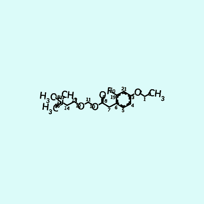 CCOc1ccc(CC(=O)OCOCC[Si](C)(C)C)c(F)c1